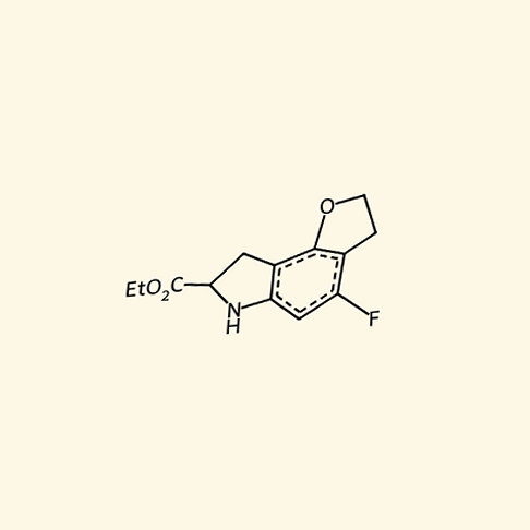 CCOC(=O)C1Cc2c(cc(F)c3c2OCC3)N1